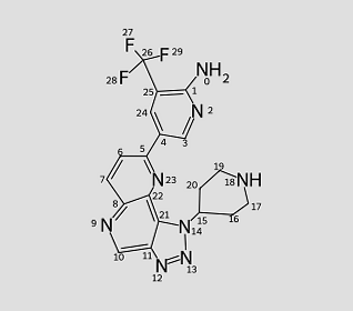 Nc1ncc(-c2ccc3ncc4nnn(C5CCNCC5)c4c3n2)cc1C(F)(F)F